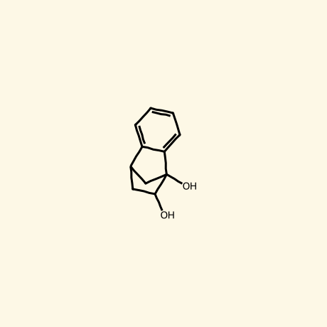 OC1CC2CC1(O)c1ccccc12